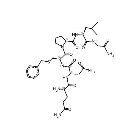 CC(C)C[C@H](NC(=O)[C@@H]1CCCN1C(=O)[C@H](CSCc1ccccc1)NC(=O)[C@H](CC(N)=O)NC(=O)[C@@H](N)CCC(N)=O)C(=O)NCC(N)=O